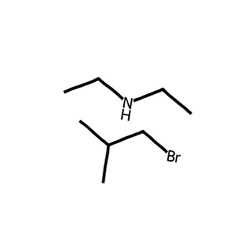 CC(C)CBr.CCNCC